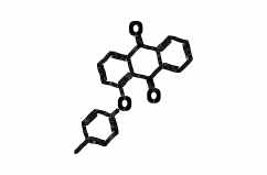 Cc1ccc(Oc2cccc3c2C(=O)c2ccccc2C3=O)cc1